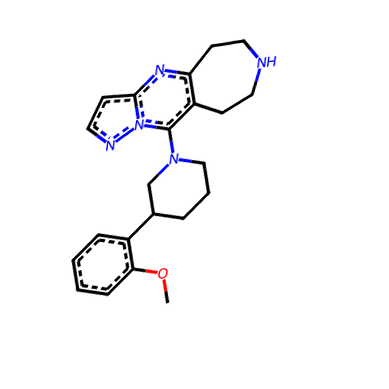 COc1ccccc1C1CCCN(c2c3c(nc4ccnn24)CCNCC3)C1